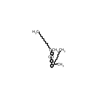 CCCCCCCCCCCCCCCCOC(C)c1ccc(OC(=O)c2ccc(-c3ccccc3C(CCC)CCCCCCCCCCC)cc2)cc1